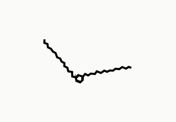 CCCCCCCCCCCCCCCCc1[c]c(CCCCCCCCCCCCCCCC)ccc1